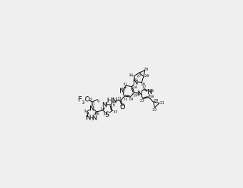 CC(n1cnnc1-c1nc(NC(=O)c2cc(-n3cnc(C4CC4)c3)c(N3CC4CC4C3)cn2)cs1)C(F)(F)F